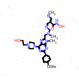 C=N/C=C(\C=N/CN(C)Cc1nc2c(N3CCN(CCO)CC3)nc(-c3ccc(OC)cc3)nc2n1C)C(=O)NO